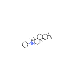 C=CC1(C)CC=C2C(CCC3C2(C)CCCC3(C)[C@@H](C)NC2CCCCC2)C1